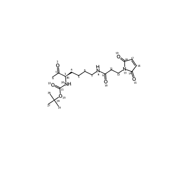 CC(=O)[C@@H](CCCCNC(=O)CCN1C(=O)C=CC1=O)NC(=O)OC(C)(C)C